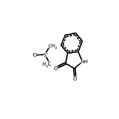 C[S+](C)[O-].O=C1Nc2ccccc2C1=O